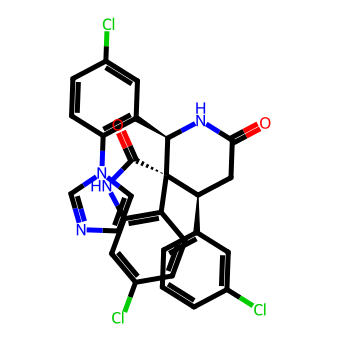 O=C1C[C@@H](c2cccc(Cl)c2)[C@]2(C(=O)Nc3cc(Cl)ccc32)[C@@H](c2cc(Cl)ccc2-n2ccnc2)N1